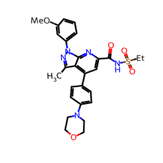 CCS(=O)(=O)NC(=O)c1cc(-c2ccc(N3CCOCC3)cc2)c2c(C)nn(-c3cccc(OC)c3)c2n1